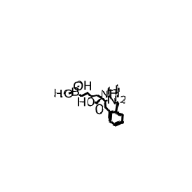 NC(CCCCB(O)O)(C(=O)O)C1Cc2ccccc2CN1